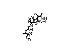 C=C(CCCNc1ncnc2c1SC(=N)/C2=C(/C)C(C)=N)C(=O)OC